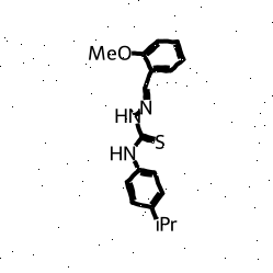 COc1ccccc1/C=N/NC(=S)Nc1ccc(C(C)C)cc1